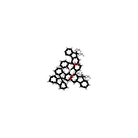 CC1(C)c2ccccc2-c2c(-c3ccccc3N(c3ccccc3-c3cccc4c3C(C)(C)c3ccccc3-4)c3cccc4c3-c3ccccc3C43c4ccccc4-c4ccccc43)cccc21